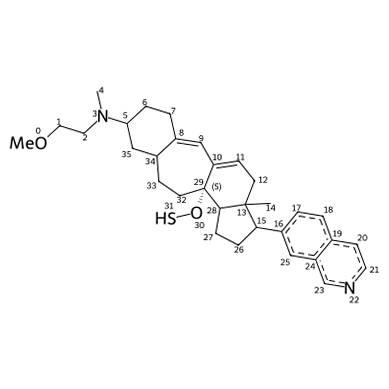 COCCN(C)C1CCC2=CC3=CCC4(C)C(c5ccc6ccncc6c5)CCC4[C@@]3(OS)CCC2C1